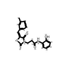 Cc1cccc(/C=C2/SC(=S)N(CCC(=O)Nc3ccccc3O)C2=O)c1